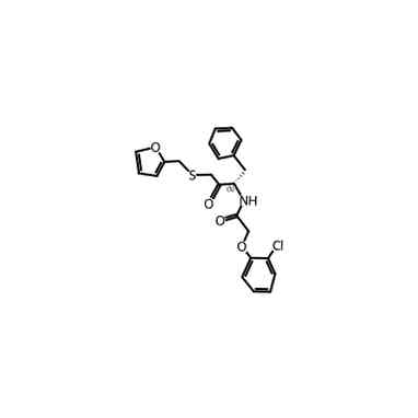 O=C(COc1ccccc1Cl)N[C@@H](Cc1ccccc1)C(=O)CSCc1ccco1